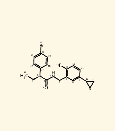 CC[C@H](C(=O)NCc1cc(C2CC2)ccc1F)c1ccc(Br)cc1